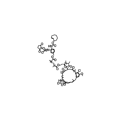 COC(=O)N[C@]1(O)CC[C@@H](C)[C@@H]2O[C@@]2(C)[C@@H](OC(=O)[C@H](C)N(C)C(=O)CCOC(=O)N(C)CCN(C)C(=O)OCc2ccc(NC(=O)OC3/C=C/CCCCC3)c(NCC(=O)ON3C(=O)CCC3=O)c2)CC(=O)N(C)c2cc(cc(OC)c2Cl)C/C(C)=C/C=C/[C@H]1OC